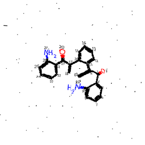 C=C(C(=O)c1ccccc1N)c1ccccc1C(=C)C(=O)c1ccccc1N